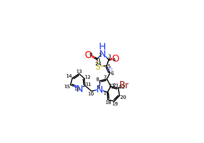 O=C1NC(=O)/C(=C/c2cn(Cc3ccccn3)c3cccc(Br)c23)S1